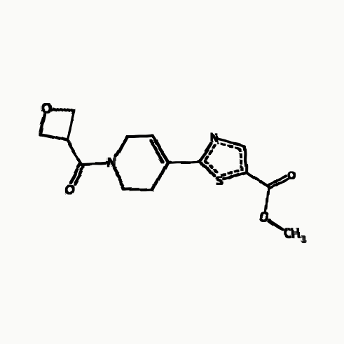 COC(=O)c1cnc(C2=CCN(C(=O)C3COC3)CC2)s1